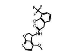 COc1ccnc2c1C(NC(=O)Cc1cccc(C(F)(F)F)c1Cl)CO2